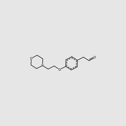 O=CCc1ccc(OCCN2CCOCC2)cc1